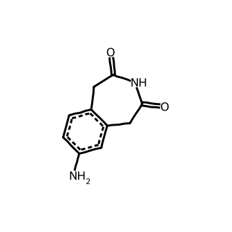 Nc1ccc2c(c1)CC(=O)NC(=O)C2